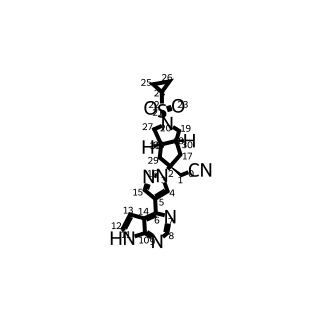 N#CC[C@]1(n2cc(-c3ncnc4[nH]ccc34)cn2)C[C@H]2CN(S(=O)(=O)C3CC3)C[C@H]2C1